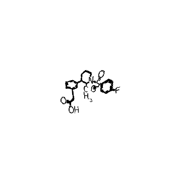 CC1C(c2cccc(CC(=O)O)c2)CCCN1S(=O)(=O)c1ccc(F)cc1